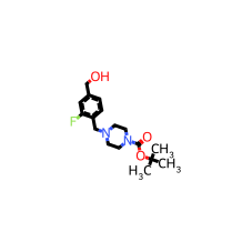 CC(C)(C)OC(=O)N1CCN(Cc2ccc(CO)cc2F)CC1